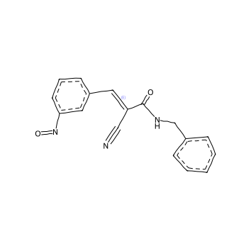 N#C/C(=C\c1cccc(N=O)c1)C(=O)NCc1ccccc1